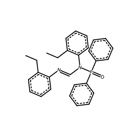 CCc1ccccc1/N=C/N(c1ccccc1CC)P(=O)(c1ccccc1)c1ccccc1